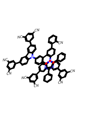 N#Cc1cc(C#N)cc(-c2ccc3c(c2)c2cc(-c4cc(C#N)cc(C#N)c4)ccc2n3-c2ccc(-c3nc(-c4ccccc4)nc(-c4ccccc4)n3)c(-c3cc(-c4ccccc4C#N)ccc3-n3c4ccc(-c5cc(C#N)cc(C#N)c5)cc4c4cc(-c5cc(C#N)cc(C#N)c5)ccc43)c2)c1